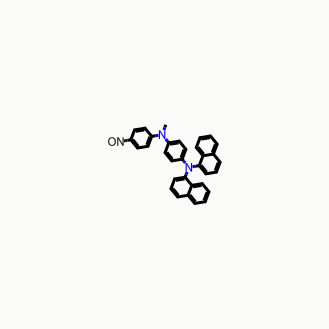 CN(c1ccc(N=O)cc1)c1ccc(N(c2cccc3ccccc23)c2cccc3ccccc23)cc1